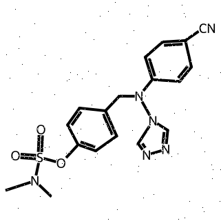 CN(C)S(=O)(=O)Oc1ccc(CN(c2ccc(C#N)cc2)n2cnnc2)cc1